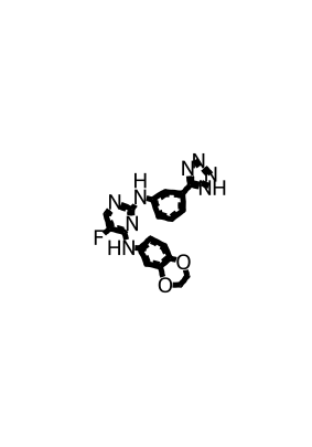 Fc1cnc(Nc2cccc(-c3nnn[nH]3)c2)nc1Nc1ccc2c(c1)OCCO2